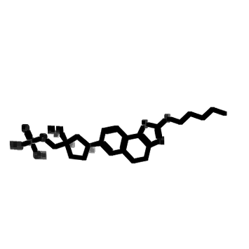 CCCCCSc1nc2c(s1)-c1ccc([C@H]3CC[C@](N)(COP(=O)(O)O)C3)cc1CC2